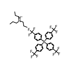 CCC[NH+](CCC)CCC.FC(F)(F)c1ccc([B-](c2ccc(C(F)(F)F)cc2)(c2ccc(C(F)(F)F)cc2)c2ccc(C(F)(F)F)cc2)cc1